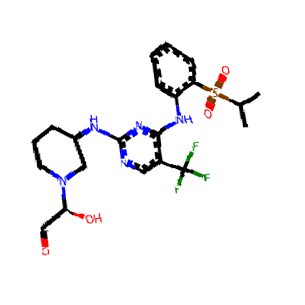 CC(C)S(=O)(=O)c1ccccc1Nc1nc(NC2CCCN([C@@H](O)C=O)C2)ncc1C(F)(F)F